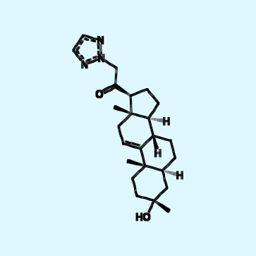 C[C@@]1(O)CC[C@]2(C)C3=CC[C@]4(C)[C@@H](C(=O)Cn5nccn5)CC[C@H]4[C@@H]3CC[C@H]2C1